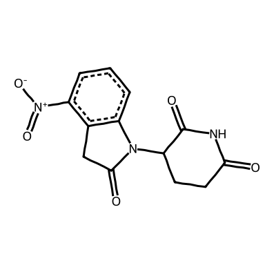 O=C1CCC(N2C(=O)Cc3c2cccc3[N+](=O)[O-])C(=O)N1